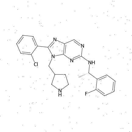 C[C@H](Nc1ncc2nc(-c3ccccc3Cl)n(CC3CCNC3)c2n1)c1ccccc1F